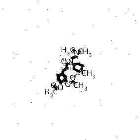 CC(=O)Oc1ccc(C=CC(=O)N(CCN(C)C)C2CCC(C)CC2)cc1OC(C)=O